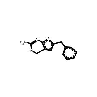 NC1=Nc2sc(Cc3ccccc3)cc2CN1